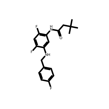 CC(C)(C)CC(=O)Nc1cc(NCc2ccc(F)cc2)c(F)cc1F